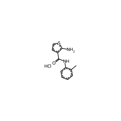 Cc1ccccc1NC(=O)c1ccsc1N.Cl